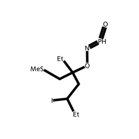 CCC(I)CC(CC)(CSC)ON=[PH]=O